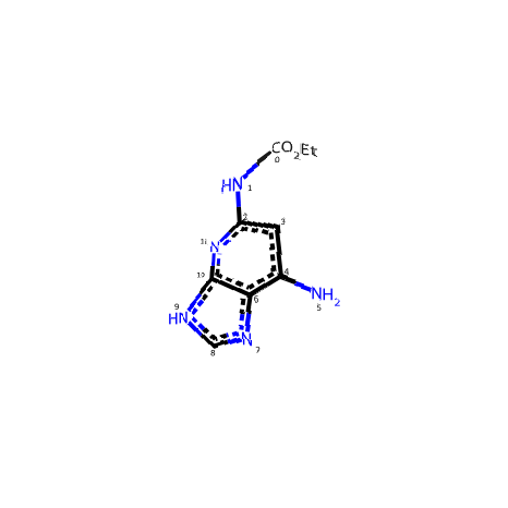 CCOC(=O)Nc1cc(N)c2nc[nH]c2n1